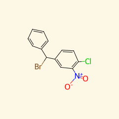 O=[N+]([O-])c1cc(C(Br)c2ccccc2)ccc1Cl